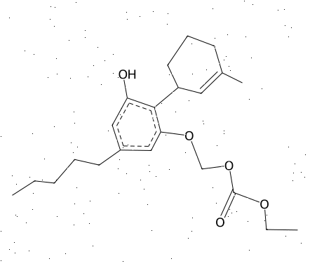 CCCCCc1cc(O)c(C2C=C(C)CCC2)c(OCOC(=O)OCC)c1